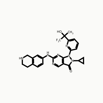 CC(O)(c1cccc(-n2c3nc(Nc4ccc5c(c4)CNCC5)ncc3c(=O)n2C2CC2)n1)C(F)(F)F